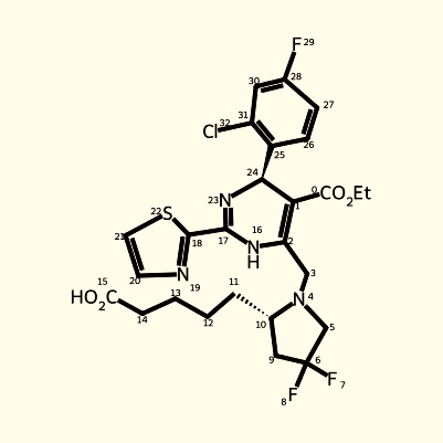 CCOC(=O)C1=C(CN2CC(F)(F)C[C@@H]2CCCCC(=O)O)NC(c2nccs2)=N[C@H]1c1ccc(F)cc1Cl